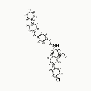 O=C(NCCc1ccc(CN2CCN(c3ccccc3)CC2)cc1)Oc1ccc(-c2ccc(Cl)cc2)cc1[N+](=O)[O-]